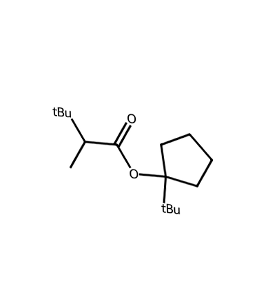 CC(C(=O)OC1(C(C)(C)C)CCCC1)C(C)(C)C